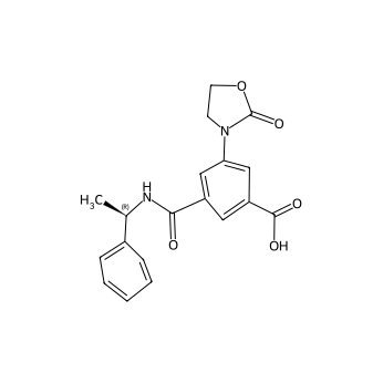 C[C@@H](NC(=O)c1cc(C(=O)O)cc(N2CCOC2=O)c1)c1ccccc1